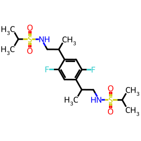 CC(CNS(=O)(=O)C(C)C)c1cc(F)c(C(C)CNS(=O)(=O)C(C)C)cc1F